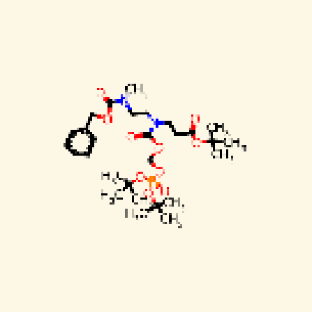 CN(CCN(CCC(=O)OC(C)(C)C)C(=O)OCOP(=O)(OC(C)(C)C)OC(C)(C)C)C(=O)OCc1ccccc1